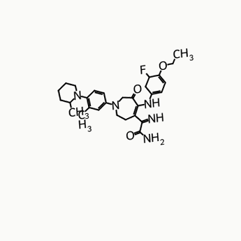 CCOC1=CC=C(NC2=C(C(=N)C(N)=O)CCN(c3ccc(N4CCCCC4C)c(C)c3)CC2=O)CC1F